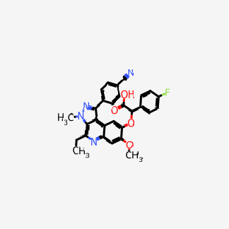 CCc1nc2cc(OC)c(OC(C(=O)O)c3ccc(F)cc3)cc2c2c(-c3ccc(C#N)cc3)nn(C)c12